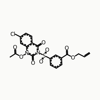 C=CCOC(=O)c1cccc(S(=O)(=O)n2c(=O)c3ccc(Cl)cc3n(OC(C)=O)c2=O)c1